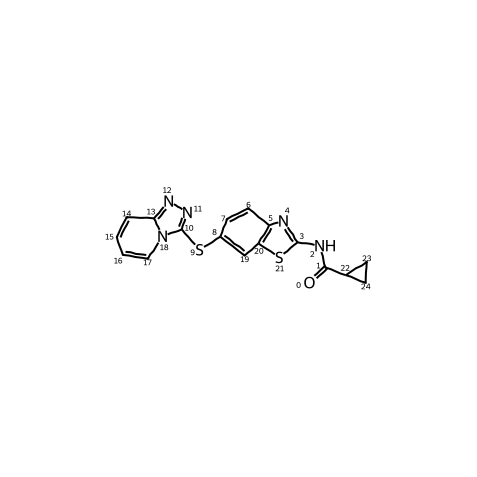 O=C(Nc1nc2ccc(Sc3nnc4ccccn34)cc2s1)C1CC1